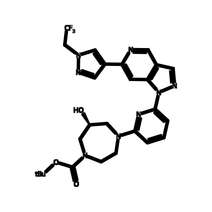 CC(C)(C)OC(=O)N1CCN(c2cccc(-n3ncc4cnc(-c5cnn(CC(F)(F)F)c5)cc43)n2)C[C@H](O)C1